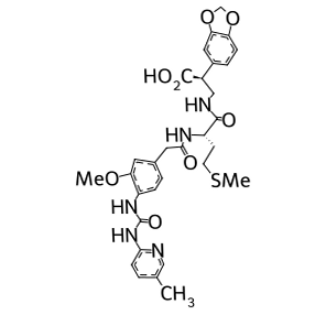 COc1cc(CC(=O)N[C@@H](CCSC)C(=O)NC[C@@H](C(=O)O)c2ccc3c(c2)OCO3)ccc1NC(=O)Nc1ccc(C)cn1